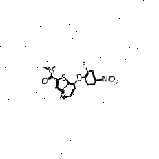 CN(C)C(=O)c1cc2nccc(Oc3ccc([N+](=O)[O-])cc3F)c2s1